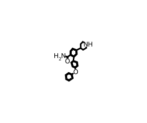 NC(=O)c1ccc(C2CCNCC2)cc1-c1ccc(Oc2ccccc2)cc1